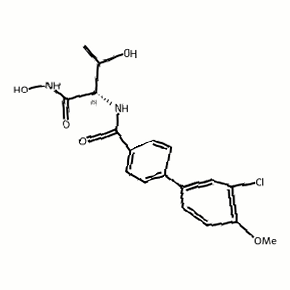 COc1ccc(-c2ccc(C(=O)N[C@H](C(=O)NO)C(C)O)cc2)cc1Cl